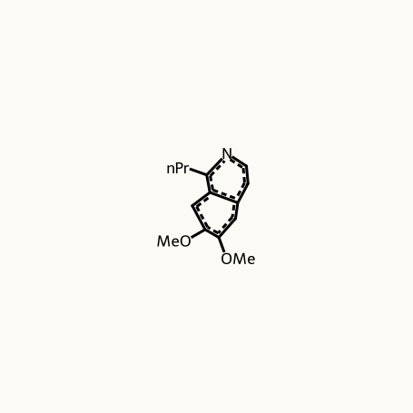 CCCc1nccc2cc(OC)c(OC)cc12